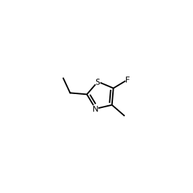 CCc1nc(C)c(F)s1